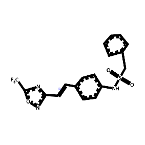 O=S(=O)(Cc1ccccc1)Nc1ccc(/C=C/c2noc(C(F)(F)F)n2)cc1